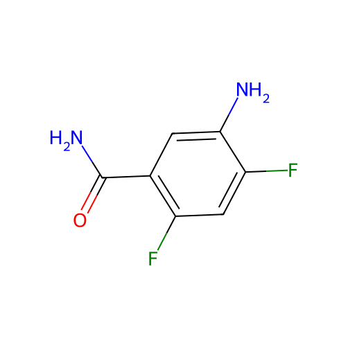 NC(=O)c1cc(N)c(F)cc1F